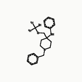 [2H]C([2H])([2H])OCC1(Nc2ccccc2)CCN(Cc2ccccc2)CC1